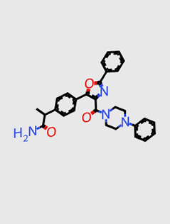 CC(C(N)=O)c1ccc(-c2oc(-c3ccccc3)nc2C(=O)N2CCN(c3ccccc3)CC2)cc1